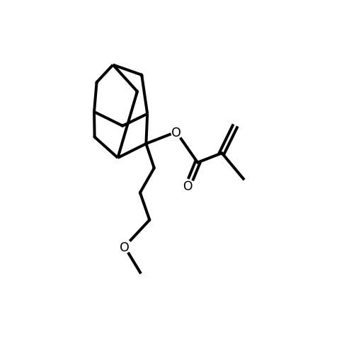 C=C(C)C(=O)OC1(CCCOC)C2CC3CC(C2)CC1C3